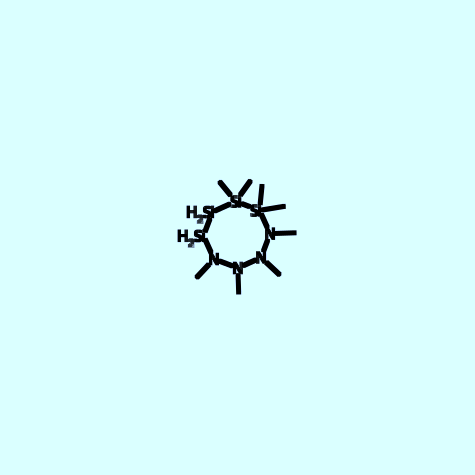 CN1[SiH2][SiH2][Si](C)(C)[Si](C)(C)N(C)N(C)N1C